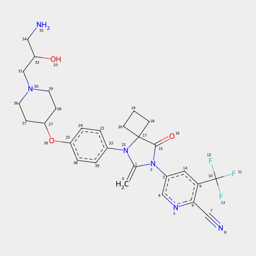 C=C1N(c2cnc(C#N)c(C(F)(F)F)c2)C(=O)C2(CCC2)N1c1ccc(OC2CCN(CC(O)CN)CC2)cc1